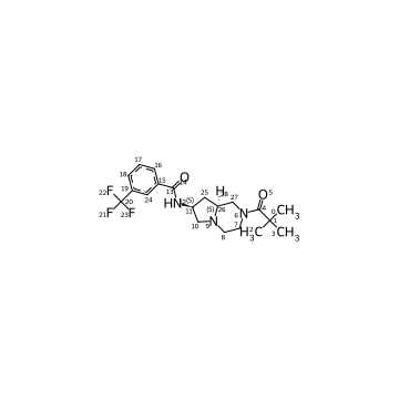 CC(C)(C)C(=O)N1CCN2C[C@@H](NC(=O)c3cccc(C(F)(F)F)c3)C[C@H]2C1